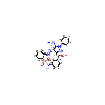 Cc1nn(-c2ccccc2)c(N)c1/N=N/c1ccccc1S(=O)(=O)Nc1cccc(CO)c1